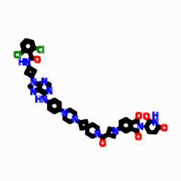 O=C1CC[C@H](N2C(=O)c3ccc(N4CC(C(=O)N5CCC6(CC5)CC(N5CCN(c7ccc(Nc8ncnc9c8ncn9C8CC(NC(=O)c9c(Cl)cccc9Cl)C8)cc7)CC5)C6)C4)cc3C2=O)C(=O)N1